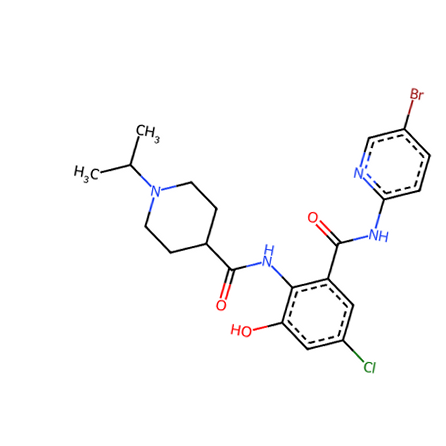 CC(C)N1CCC(C(=O)Nc2c(O)cc(Cl)cc2C(=O)Nc2ccc(Br)cn2)CC1